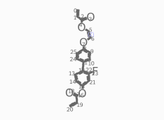 C=CC(=O)O/C=C\Oc1ccc(-c2ccc(OC(=O)C=C)cc2F)cc1